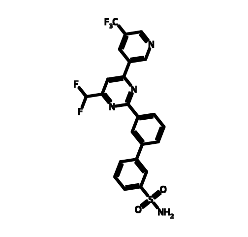 NS(=O)(=O)c1cccc(-c2cccc(-c3nc(-c4cncc(C(F)(F)F)c4)cc(C(F)F)n3)c2)c1